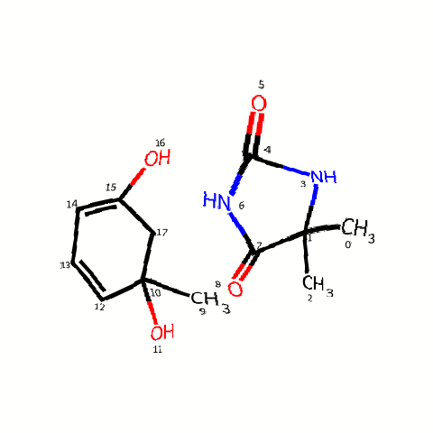 CC1(C)NC(=O)NC1=O.CC1(O)C=CC=C(O)C1